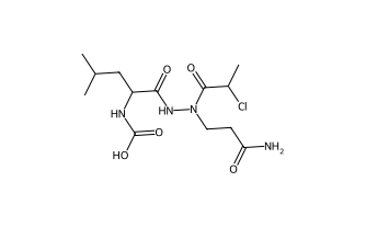 CC(C)CC(NC(=O)O)C(=O)NN(CCC(N)=O)C(=O)C(C)Cl